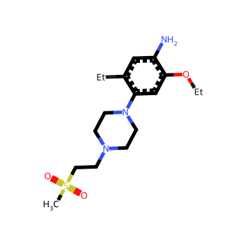 CCOc1cc(N2CCN(CCS(C)(=O)=O)CC2)c(CC)cc1N